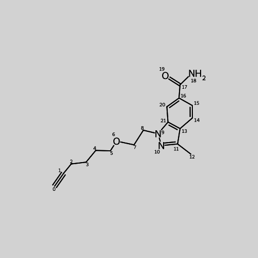 C#CCCCCOCCn1nc(C)c2ccc(C(N)=O)cc21